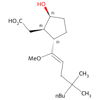 CCCCC(C)(C)CC=C(OC)[C@H]1CC[C@H](O)[C@@H]1CC(=O)O